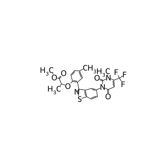 COC(=O)C(C)Oc1ccc(C)cc1-c1nsc2ccc(-n3c(=O)cc(C(F)(F)F)n(C)c3=O)cc12